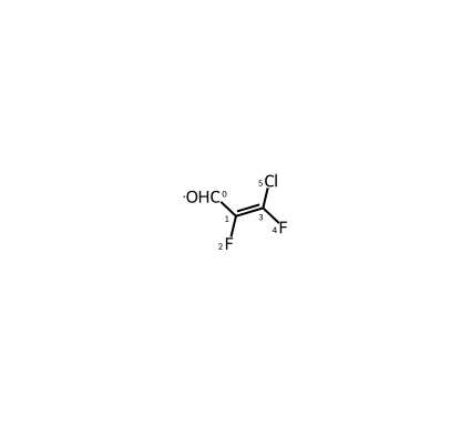 O=[C]/C(F)=C(/F)Cl